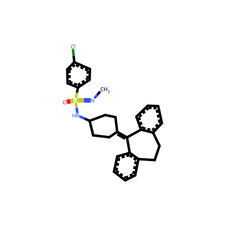 CN=S(=O)(NC1CCC(=C2c3ccccc3CCc3ccccc32)CC1)c1ccc(Cl)cc1